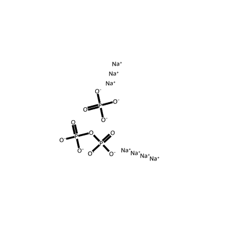 O=P([O-])([O-])OP(=O)([O-])[O-].O=P([O-])([O-])[O-].[Na+].[Na+].[Na+].[Na+].[Na+].[Na+].[Na+]